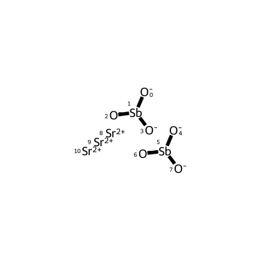 [O-][Sb]([O-])[O-].[O-][Sb]([O-])[O-].[Sr+2].[Sr+2].[Sr+2]